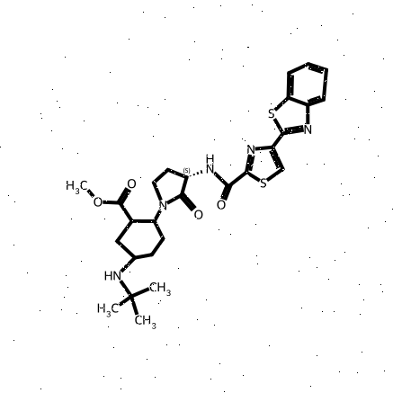 COC(=O)C1CC(NC(C)(C)C)CCC1N1CC[C@H](NC(=O)c2nc(-c3nc4ccccc4s3)cs2)C1=O